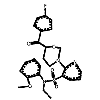 CCN(c1ccccc1OC)S(=O)(=O)c1cccnc1N1CCC(C(=O)c2ccc(F)cc2)CC1